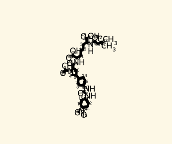 CC(=O)N1CC(c2ccc(NC(=O)Nc3ccc([N+](=O)[O-])cc3)cc2)CC1C(=O)NC(CC=CCC(NC(=O)CC(C)(C)C)C(=O)O)C(=O)O